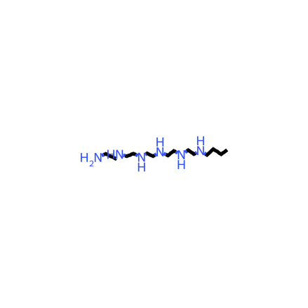 CCCCNCCNCCNCCNCCNCCN